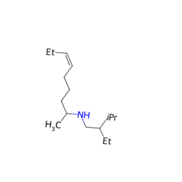 CC/C=C\CCCC(C)NCC(CC)C(C)C